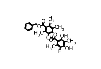 Cc1c(O)c(F)c(C)c(C(=O)Oc2c(C)c(C)c(C(=O)OCc3ccccc3)c(C)c2C)c1O